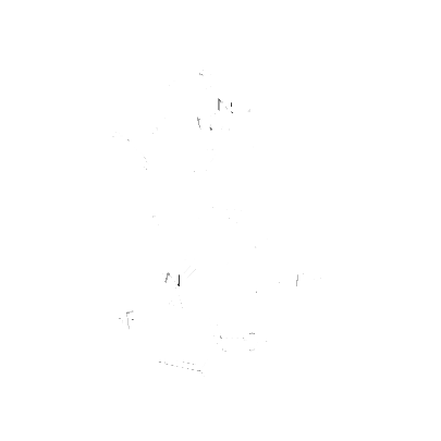 CCc1nc2c(F)ccc([O])c2c(OC(F)F)c1Cc1ccc(-n2nccc2C2CC2)cc1